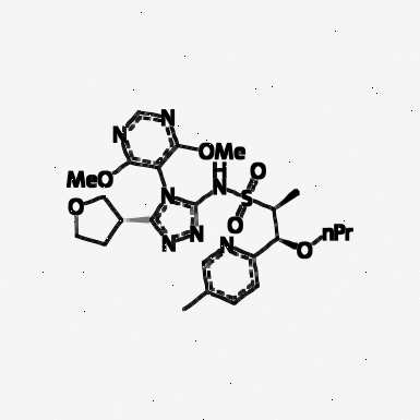 CCCO[C@@H](c1ccc(C)cn1)[C@H](C)S(=O)(=O)Nc1nnc([C@@H]2CCOC2)n1-c1c(OC)ncnc1OC